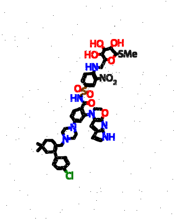 CSC1OC(CNc2ccc(S(=O)(=O)NC(=O)c3ccc(N4CCN(CC5=C(c6ccc(Cl)cc6)CC(C)(C)CC5)CC4)cc3N3CCOc4nc5[nH]ccc5cc43)cc2[N+](=O)[O-])C(O)C(O)C1O